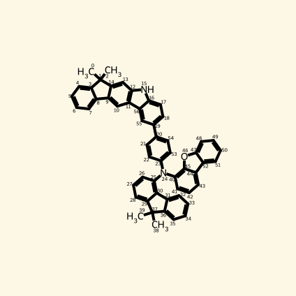 CC1(C)c2ccccc2-c2cc3c(cc21)[nH]c1ccc(-c2ccc(N(c4cccc5c4-c4ccccc4C5(C)C)c4cccc5c4oc4ccccc45)cc2)cc13